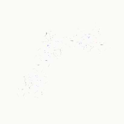 Cc1cccc(N(c2cccc3c2oc2ccccc23)c2cccc3c4c5ccc6c(c5ccc4n(-c4ccccc4)c23)c2cccc(N(c3ccc(C(C)(C)C)cc3)c3cccc4c5c7ccc8c(c7ccc5n(-c5ccccc5)c34)c3cccc(N(c4cccc(C)c4)c4cccc5c4oc4ccccc45)c3n8-c3ccccc3)c2n6-c2ccccc2)c1